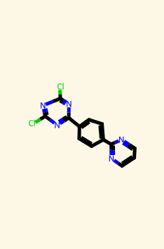 Clc1nc(Cl)nc(-c2ccc(-c3ncccn3)cc2)n1